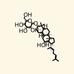 CC(C)=CC/C=C(\C)[C@H]1CC[C@]2(C)[C@@H]1[C@H](O)C[C@@H]1[C@@]3(C)CC[C@H](O[C@@H]4O[C@H](CO)[C@@H](O)[C@H](O)[C@H]4O)C(C)(C)[C@@H]3CC[C@]12C